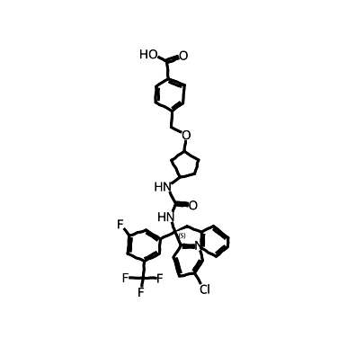 O=C(NC1CCC(OCc2ccc(C(=O)O)cc2)C1)N[C@@](Cc1ccccc1)(c1cc(F)cc(C(F)(F)F)c1)c1ccc(Cl)cn1